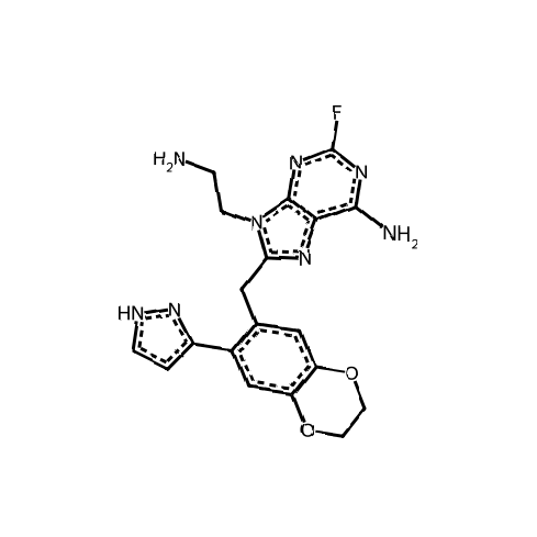 NCCn1c(Cc2cc3c(cc2-c2cc[nH]n2)OCCO3)nc2c(N)nc(F)nc21